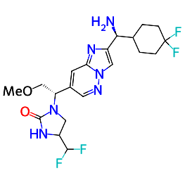 COC[C@H](c1cnn2cc([C@@H](N)C3CCC(F)(F)CC3)nc2c1)N1CC(C(F)F)NC1=O